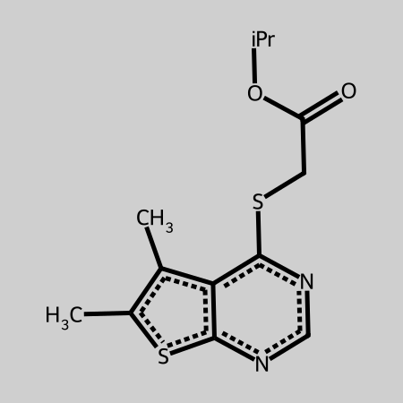 Cc1sc2ncnc(SCC(=O)OC(C)C)c2c1C